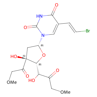 COCC(=O)C(O)[C@H]1O[C@@H](n2cc(C=CBr)c(=O)[nH]c2=O)C[C@@]1(O)C(=O)COC